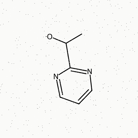 CC([O])c1ncccn1